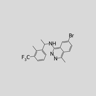 Cc1c(C(C)Nc2nnc(C)c3ccc(Br)cc23)cccc1C(F)(F)F